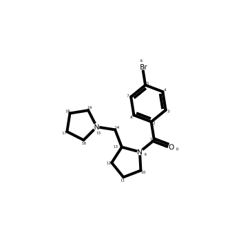 O=C(c1ccc(Br)cc1)N1CCCC1CN1CCCC1